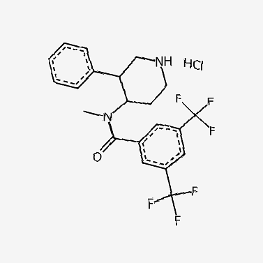 CN(C(=O)c1cc(C(F)(F)F)cc(C(F)(F)F)c1)C1CCNCC1c1ccccc1.Cl